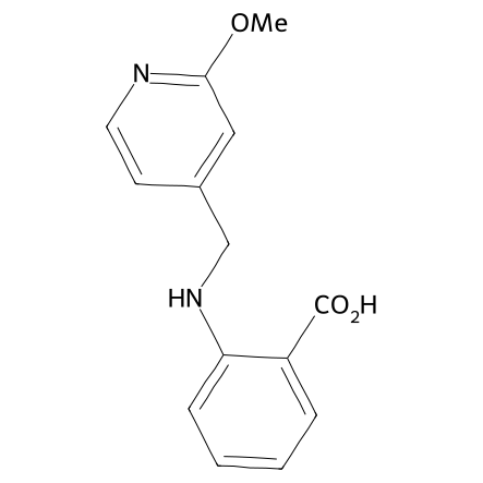 COc1cc(CNc2ccccc2C(=O)O)ccn1